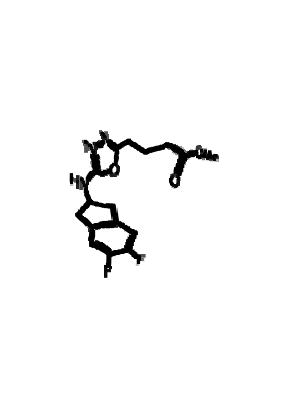 COC(=O)CCCc1nnc(NC2Cc3cc(F)c(F)cc3C2)o1